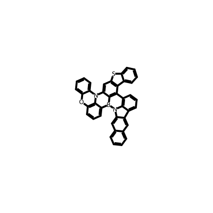 c1ccc2c(c1)Oc1cccc3c1N2c1cc2sc4ccccc4c2c2c1B3n1c3cc4ccccc4cc3c3cccc-2c31